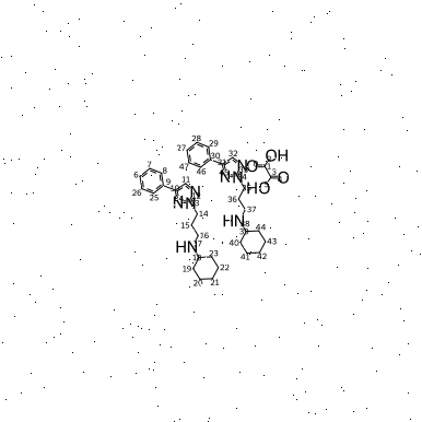 O=C(O)C(=O)O.c1ccc(-c2cnn(CCCNC3CCCCC3)n2)cc1.c1ccc(-c2cnn(CCCNC3CCCCC3)n2)cc1